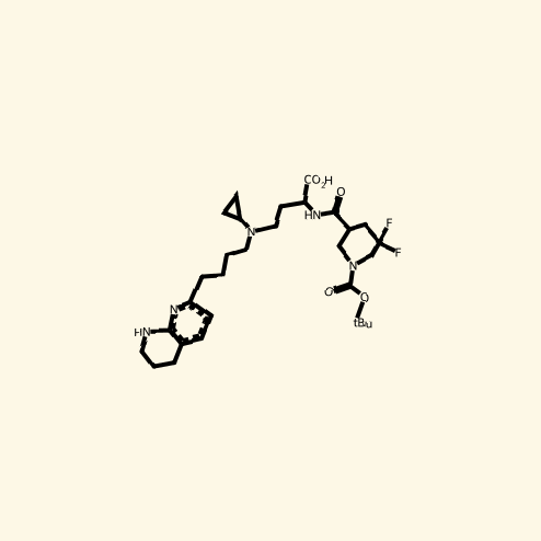 CC(C)(C)OC(=O)N1CC(C(=O)NC(CCN(CCCCc2ccc3c(n2)NCCC3)C2CC2)C(=O)O)CC(F)(F)C1